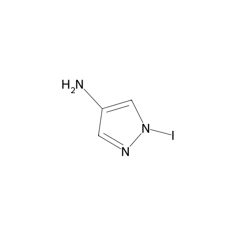 Nc1cnn(I)c1